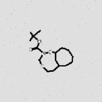 CC(C)(C)OC(=O)N1CCCCC2CCCCCC(C2)C1